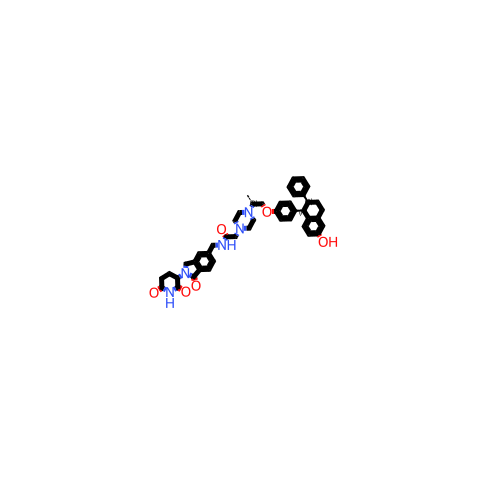 C[C@H](COc1ccc([C@@H]2c3ccc(O)cc3CC[C@@H]2c2ccccc2)cc1)N1CCN(CC(=O)NCc2ccc3c(c2)CN(C2CCC(=O)NC2=O)C3=O)CC1